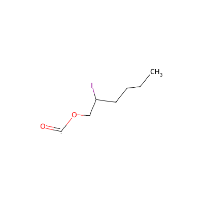 CCCCC(I)CO[C]=O